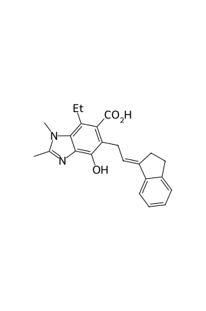 CCc1c(C(=O)O)c(CC=C2CCc3ccccc32)c(O)c2nc(C)n(C)c12